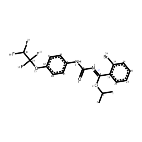 CC(C)O/C(=N\C(=O)Nc1ccc(OC(F)(F)C(F)F)cc1)c1ccccc1Br